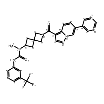 CN(C(=O)Nc1cncc(C(F)(F)F)c1)C1CC2(C1)CN(C(=O)c1cnn3cc(-c4cncnc4)ccc13)C2